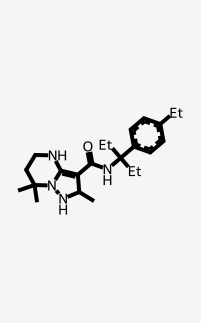 CCc1ccc(C(CC)(CC)NC(=O)C2=C3NCCC(C)(C)N3NC2C)cc1